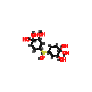 [O-][S+](C1=CC(O)C(O)(O)C=C1)C1=CC(O)C(O)(O)C=C1